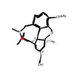 COc1ccc2c3c1O[C@H]1C[C@@H](O)C=C(N(C)C)[C@@]31CCN(C)C2